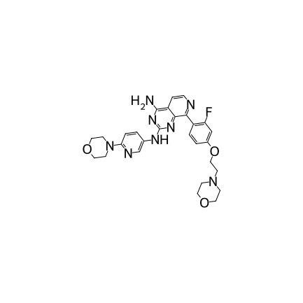 Nc1nc(Nc2ccc(N3CCOCC3)nc2)nc2c(-c3ccc(OCCN4CCOCC4)cc3F)nccc12